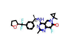 Cc1nc(N[C@H](C)c2cccc(C(F)(F)C3CCCO3)c2)c2cn(C3(C)CC3)c(=O)c(F)c2n1